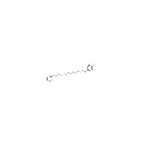 Nc1c(Cl)cc(C(O)CNCCCCCCOCCCCc2ncccn2)cc1Cl